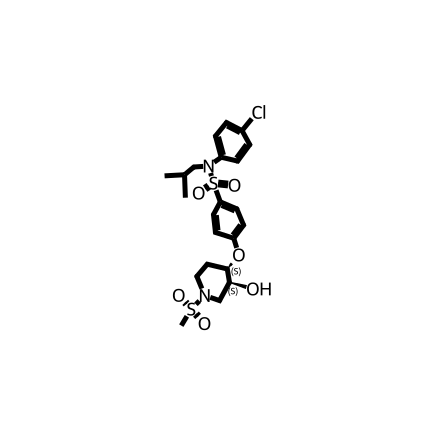 CC(C)CN(c1ccc(Cl)cc1)S(=O)(=O)c1ccc(O[C@H]2CCN(S(C)(=O)=O)C[C@@H]2O)cc1